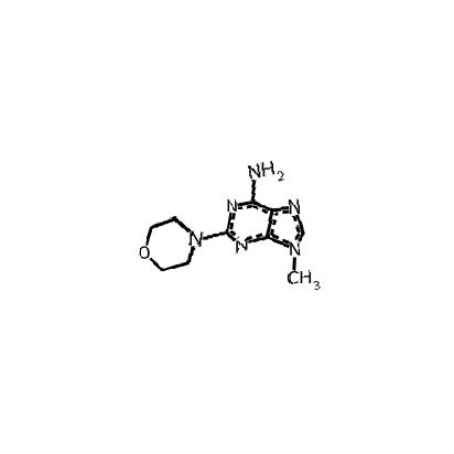 Cn1cnc2c(N)nc(N3CCOCC3)nc21